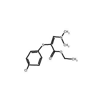 CCOC(=O)/C(=C\N(C)C)Sc1ccc(Cl)cc1